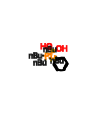 CCCCP(CCCC)(CCCC)(CCCC)[PH](O)(O)c1ccccc1